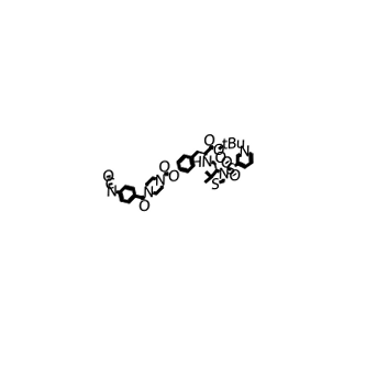 CC(C)(C)OC(=O)[C@H](Cc1ccc(OC(=O)N2CCN(C(=O)c3ccc(N=C=O)cc3)CC2)cc1)NC(=O)[C@H]1N(S(=O)(=O)c2cccnc2)CSC1(C)C